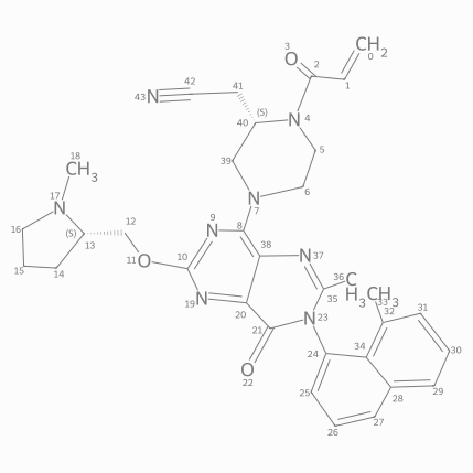 C=CC(=O)N1CCN(c2nc(OC[C@@H]3CCCN3C)nc3c(=O)n(-c4cccc5cccc(C)c45)c(C)nc23)C[C@@H]1CC#N